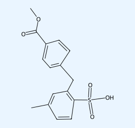 COC(=O)c1ccc(Cc2cc(C)ccc2S(=O)(=O)O)cc1